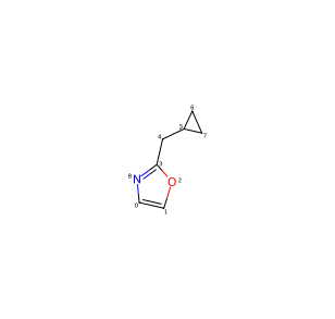 c1coc(C[C]2CC2)n1